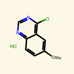 COc1ccc2ncnc(Cl)c2c1.Cl